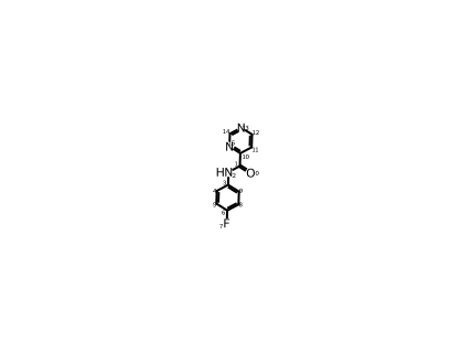 O=C(Nc1ccc(F)cc1)c1ccncn1